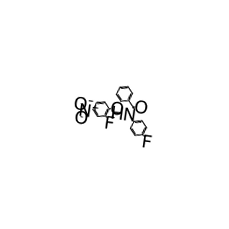 O=C(Nc1ccc(F)cc1)c1ccccc1Oc1ccc([N+](=O)[O-])cc1F